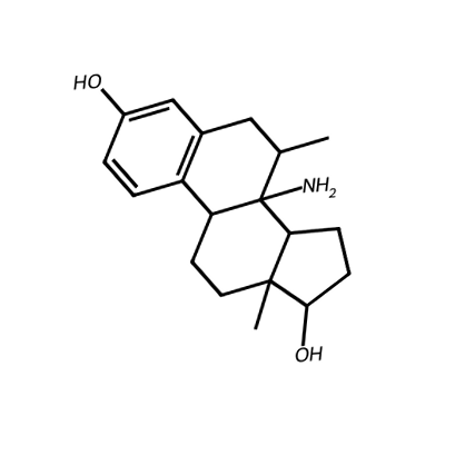 CC1Cc2cc(O)ccc2C2CCC3(C)C(O)CCC3C12N